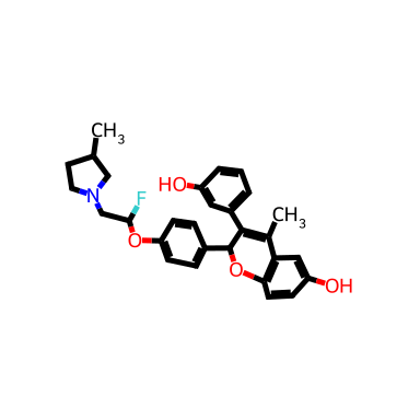 CC1=C(c2cccc(O)c2)C(c2ccc(OC(F)CN3CCC(C)C3)cc2)Oc2ccc(O)cc21